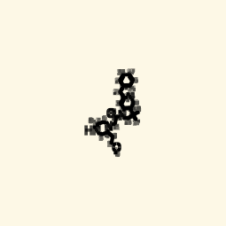 COCCC1CN[C@H](C)CN1CC(=O)N1CC(C)(C)c2cnc(Cc3ccccc3)cc21